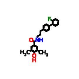 Cc1cc(C(=O)NCCCc2ccc(-c3ccccc3F)cc2)cc(C)c1O